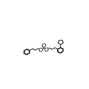 O=C(OCCCc1ccccc1)OCCCc1ccccc1C1CCCC1